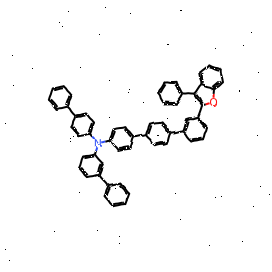 c1ccc(-c2ccc(N(c3ccc(-c4ccc(-c5cccc(-c6oc7ccccc7c6-c6ccccc6)c5)cc4)cc3)c3cccc(-c4ccccc4)c3)cc2)cc1